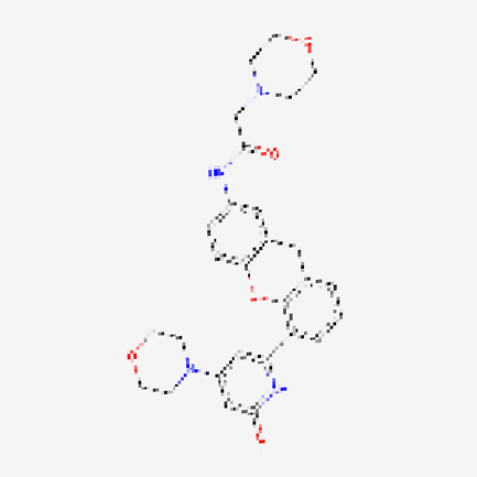 O=C(CN1CCOCC1)Nc1ccc2c(c1)Cc1cccc(-c3cc(N4CCOCC4)cc(=O)[nH]3)c1O2